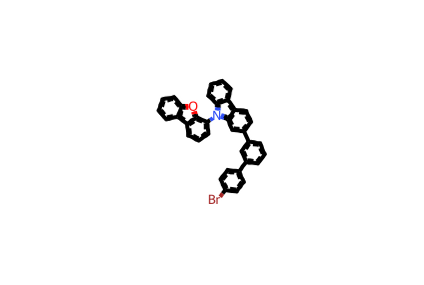 Brc1ccc(-c2cccc(-c3ccc4c5ccccc5n(-c5cccc6c5oc5ccccc56)c4c3)c2)cc1